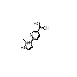 CN1NC=CN1c1ccc(B(O)O)cn1